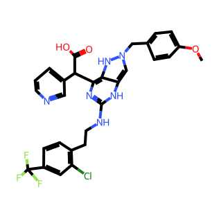 COc1ccc(CN2C=C3NC(NCCc4ccc(C(F)(F)F)cc4Cl)=NC(C(C(=O)O)c4cccnc4)=C3N2)cc1